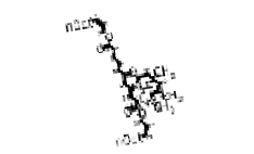 CCCCCCCC/C=C\COC(=O)CCCCC(CCCCC(=O)OC/C=C\CCCCCCCC)OC(=O)CC(C)(C)CC(C)CN(C)C